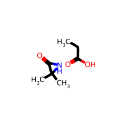 CC1(C)NC1=O.CCC(=O)O